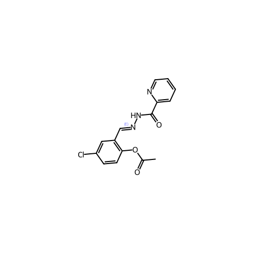 CC(=O)Oc1ccc(Cl)cc1/C=N/NC(=O)c1ccccn1